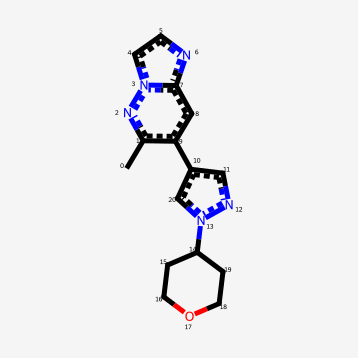 Cc1nn2ccnc2cc1-c1cnn(C2CCOCC2)c1